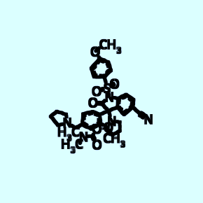 COc1ccc(S(=O)(=O)N2C(=O)C(c3ccc(CN4CCCC4)cc3OC)(N3CCC[C@@H]3OC(=O)N(C)C)c3cc(C#N)ccc32)cc1